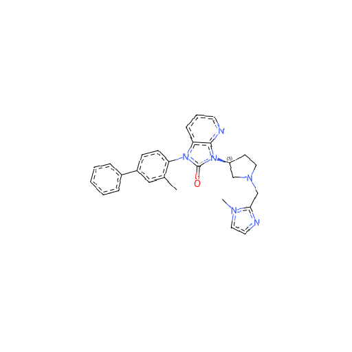 Cc1cc(-c2ccccc2)ccc1-n1c(=O)n([C@H]2CCN(Cc3nccn3C)C2)c2ncccc21